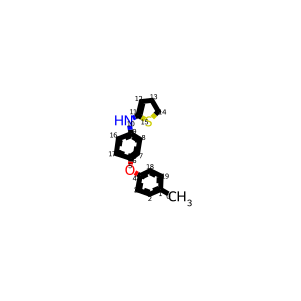 Cc1ccc(Oc2ccc(NC3=CCCS3)cc2)cc1